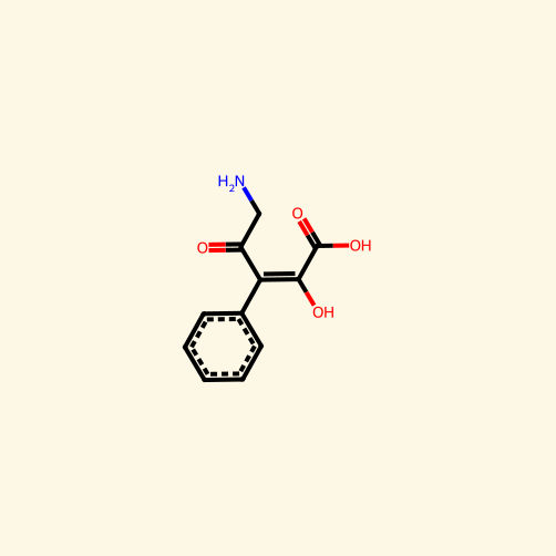 NCC(=O)C(=C(O)C(=O)O)c1ccccc1